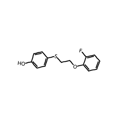 Oc1ccc(SCCOc2ccccc2F)cc1